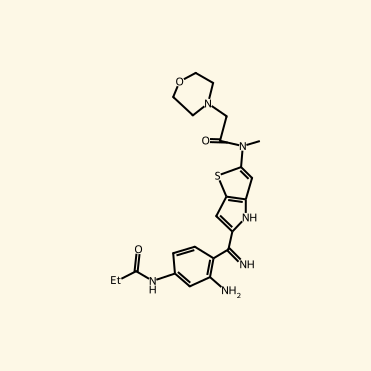 CCC(=O)Nc1ccc(C(=N)c2cc3sc(N(C)C(=O)CN4CCOCC4)cc3[nH]2)c(N)c1